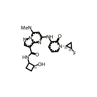 CNc1cc(Nc2cccn([C@@H]3C[C@H]3F)c2=O)nc2c(C(=O)NC3CC[C@@H]3O)cnn12